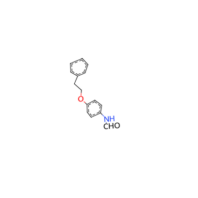 O=CNc1ccc(OCCc2ccccc2)cc1